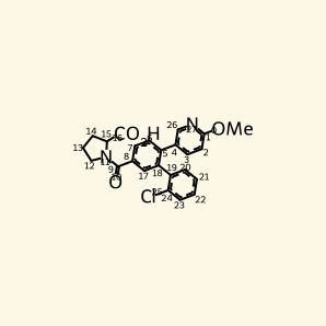 COc1ccc(-c2ccc(C(=O)N3CCCC3C(=O)O)cc2-c2ccccc2Cl)cn1